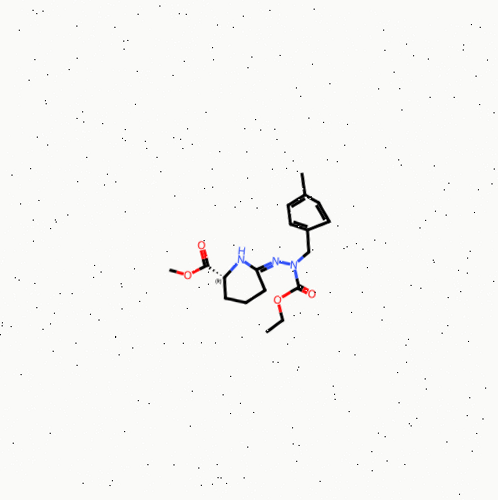 CCOC(=O)N(Cc1ccc(C)cc1)N=C1CCC[C@H](C(=O)OC)N1